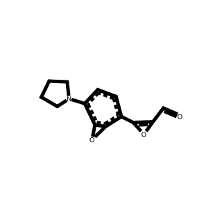 O=[C]C1=C(c2ccc(N3CCCC3)c3c2O3)O1